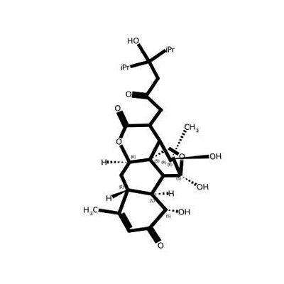 CC1=CC(=O)[C@@H](O)[C@@H]2C3[C@]45CO[C@]3(O)[C@H](O)[C@H](C)C4C(CC(=O)CC(O)(C(C)C)C(C)C)C(=O)O[C@@H]5C[C@@H]12